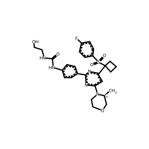 C[C@H]1COCCN1c1cc(C2(S(=O)(=O)c3ccc(F)cc3)CCC2)nc(-c2ccc(NC(=O)NCCO)cc2)n1